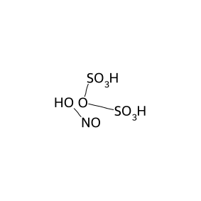 O=NO.O=S(=O)(O)OS(=O)(=O)O